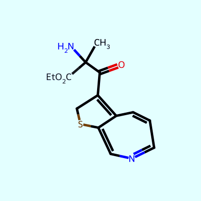 CCOC(=O)C(C)(N)C(=O)C1=C2C=CC=NC=C2SC1